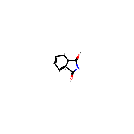 O=C1[N]C(=O)C2CC=CC=C12